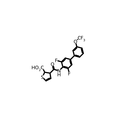 O=C(Nc1c(F)cc(-c2cccc(OC(F)(F)F)c2)cc1F)C1C=CSC1C(=O)O